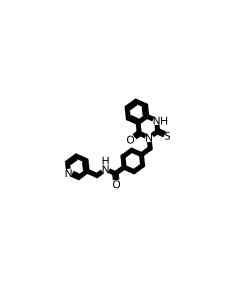 O=C(NCc1cccnc1)C1CCC(Cn2c(=S)[nH]c3ccccc3c2=O)CC1